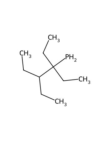 CCC(CC)C(P)(CC)CC